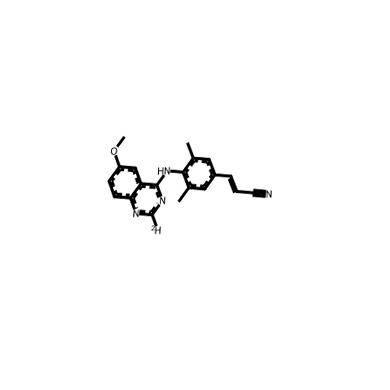 [2H]c1nc(Nc2c(C)cc(C=CC#N)cc2C)c2cc(OC)ccc2n1